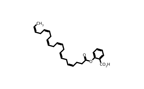 C/C=C\C/C=C\C/C=C\C/C=C\C/C=C\C/C=C\CCC(=O)Oc1ccccc1C(=O)O